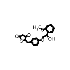 COc1ccccc1C(O)COc1ccc(CC2SC(=O)CC2=O)cc1